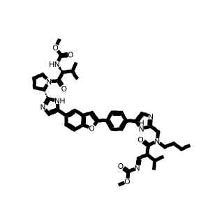 CCCCN(Cc1ncc(-c2ccc(-c3cc4cc(-c5cnc([C@@H]6CCCN6C(=O)[C@@H](NC(=O)OC)C(C)C)[nH]5)ccc4o3)cc2)[nH]1)C(=O)C(/C=N/C(=O)OC)C(C)C